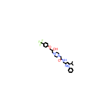 CC(C)c1cc(CNC(=O)CN2CCN(C[C@@H](O)COc3ccc(C(F)(F)F)cc3)CC2)nn1-c1ccccc1